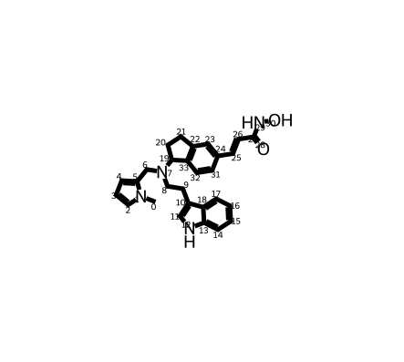 Cn1cccc1CN(CCc1c[nH]c2ccccc12)C1CCc2cc(/C=C/C(=O)NO)ccc21